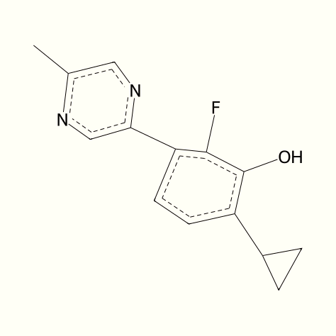 Cc1cnc(-c2ccc(C3CC3)c(O)c2F)cn1